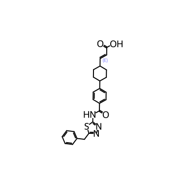 O=C(O)/C=C/C1CCC(c2ccc(C(=O)Nc3nnc(Cc4ccccc4)s3)cc2)CC1